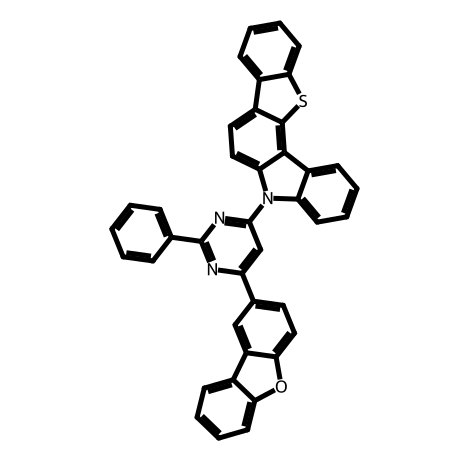 c1ccc(-c2nc(-c3ccc4oc5ccccc5c4c3)cc(-n3c4ccccc4c4c5sc6ccccc6c5ccc43)n2)cc1